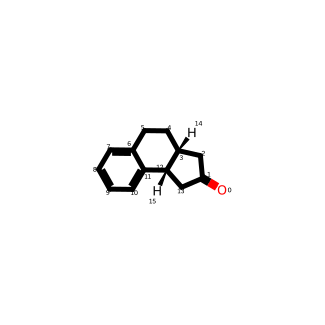 O=C1C[C@H]2CCc3ccccc3[C@H]2C1